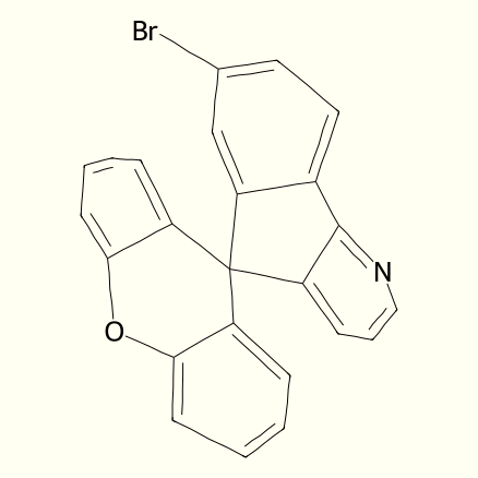 Brc1ccc2c(c1)C1(c3ccccc3Oc3ccccc31)c1cccnc1-2